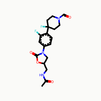 CC(=O)NCC1CN(c2ccc(C3(F)CCN(C=O)CC3)c(F)c2)C(=O)O1